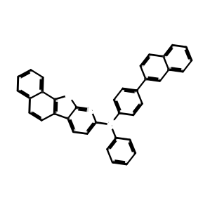 c1ccc(N(c2ccc(-c3ccc4ccccc4c3)cc2)c2ccc3c(n2)sc2c4ccccc4ccc32)cc1